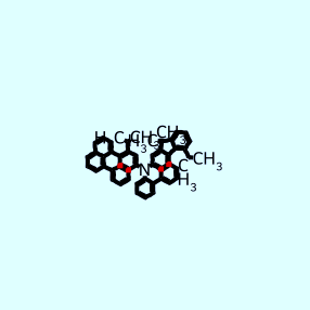 CC(C)c1cc(N(c2ccc3c(c2)C(C)(C)c2cccc(C(C)C)c2-3)c2ccccc2-c2ccccc2)ccc1-c1cccc2cccc(-c3ccccc3)c12